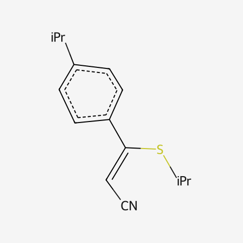 CC(C)SC(=CC#N)c1ccc(C(C)C)cc1